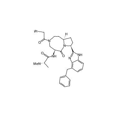 CN[C@@H](C)C(=O)N[C@H]1CN(C(=O)CC(C)C)CC[C@H]2CC[C@@H](c3nc4c(Cc5ccccc5)cccc4[nH]3)N2C1=O